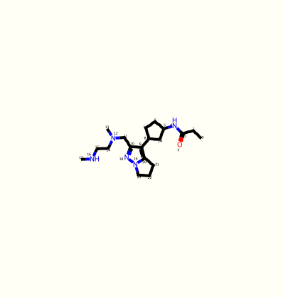 CCC(=O)NC1CCC(c2c(CN(C)CCNC)nn3c2CCC3)C1